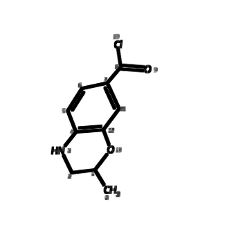 CC1CNc2ccc(C(=O)Cl)cc2O1